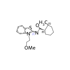 COCCn1/c(=N/C(=O)[C@@H]2CCCC[C@@H]2C)sc2ccccc21